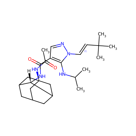 CC(=O)N[C@]12CC3CC(C1)[C@@H](NC(=O)c1cnn(/C=C/C(C)(C)C)c1NC(C)C)C(C3)C2